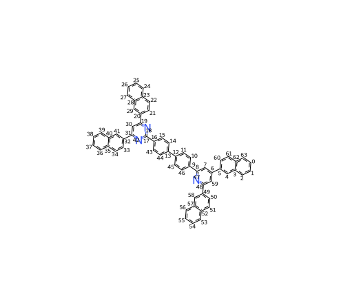 c1ccc2cc(-c3cc(-c4ccc(-c5ccc(-c6nc(-c7ccc8ccccc8c7)cc(-c7ccc8ccccc8c7)n6)cc5)cc4)nc(-c4ccc5ccccc5c4)c3)ccc2c1